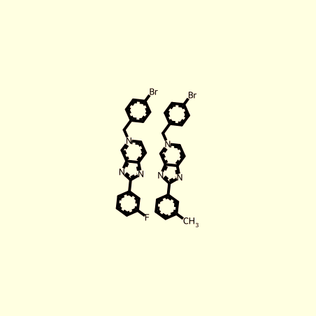 Cc1cccc(-c2nc3ccn(Cc4ccc(Br)cc4)cc-3n2)c1.Fc1cccc(-c2nc3ccn(Cc4ccc(Br)cc4)cc-3n2)c1